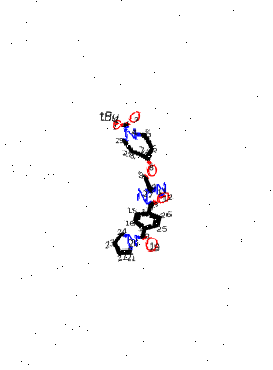 CC(C)(C)OC(=O)N1CCC(OCc2noc(-c3ccc(C(=O)N4CCCC4)cc3)n2)CC1